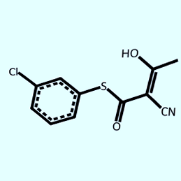 CC(O)=C(C#N)C(=O)Sc1cccc(Cl)c1